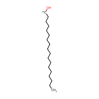 CCCCCCCCCCCCCCCCC[14CH2]O